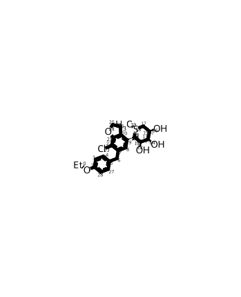 CCOc1ccc(Cc2cc([C@H]3[C@H](O)[C@H](O)[C@H](O)C[SH]3C)c3c(c2Cl)OCC3)cc1